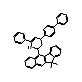 CC1(C)c2ccccc2-c2c1cc1ccccc1c2C1CC(c2ccc(-c3ccccc3)cc2)C=C(c2ccccc2)N1